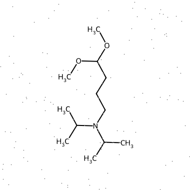 COC(CCCN(C(C)C)C(C)C)OC